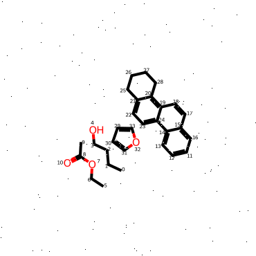 CCCCO.CCOC(C)=O.c1ccc2c(c1)ccc1c3c(ccc12)CCCC3.c1ccoc1